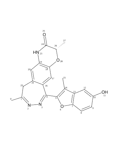 CC1=NN=C(c2oc3ccc(O)cc3c2C)c2cc3c(cc2C1)NC(=O)[C@H](C)O3